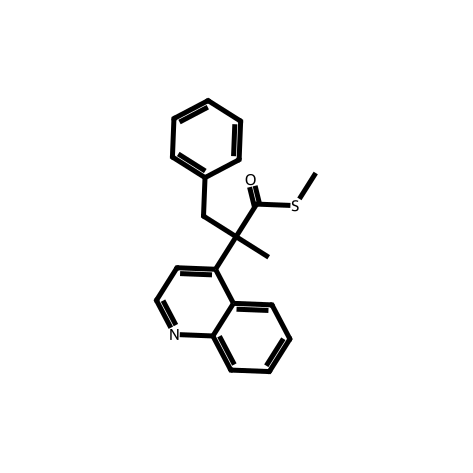 CSC(=O)C(C)(Cc1ccccc1)c1ccnc2ccccc12